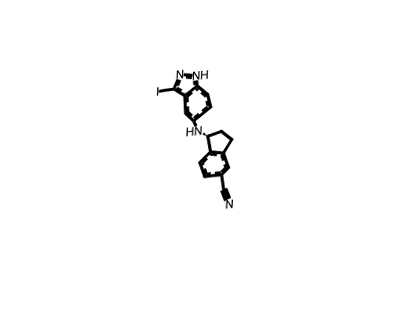 N#Cc1ccc2c(c1)CC[C@H]2Nc1ccc2[nH]nc(I)c2c1